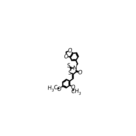 COc1ccc(/C=C2\SC(=S)N(Cc3ccc4c(c3)OCO4)C2=O)c(OC)c1